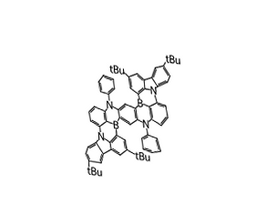 CC(C)(C)c1ccc2c(c1)c1cc(C(C)(C)C)cc3c1n2-c1cccc2c1B3c1cc3c(cc1N2c1ccccc1)B1c2c(cccc2-n2c4ccc(C(C)(C)C)cc4c4cc(C(C)(C)C)cc1c42)N3c1ccccc1